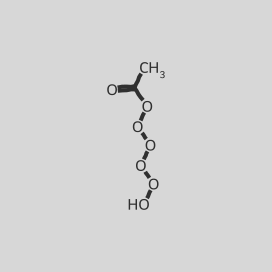 CC(=O)OOOOOO